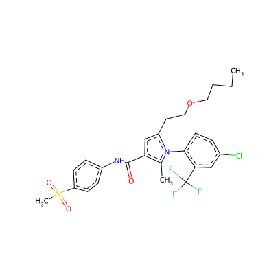 CCCCOCCc1cc(C(=O)Nc2ccc(S(C)(=O)=O)cc2)c(C)n1-c1ccc(Cl)cc1C(F)(F)F